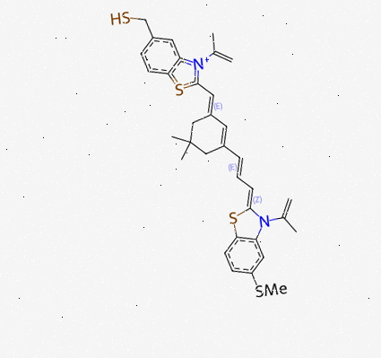 C=C(C)N1/C(=C/C=C/C2=CC(=C/c3sc4ccc(CS)cc4[n+]3C(=C)C)/CC(C)(C)C2)Sc2ccc(SC)cc21